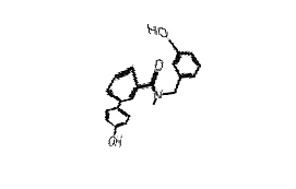 CN(Cc1cccc(O)c1)C(=O)c1cccc(-c2ccc(O)cc2)c1